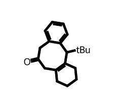 CC(C)(C)C1C2=C(CCCC2)CC(=O)Cc2ccccc21